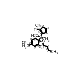 CCCCSC1([Si](C)(C)C2=[C]([Ti+2])CC=C2)CC=C(C)C=C1C.[Cl-].[Cl-]